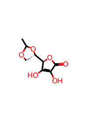 CC1OC[C@@H]([C@H]2OC(=O)C(O)=C2O)O1